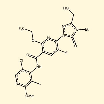 CCn1c(CO)nn(-c2nc(OCC(F)(F)F)c(C(=O)Nc3c(Cl)cnc(OC)c3C)cc2F)c1=O